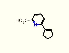 O=C(O)c1cccc(C2=CCCC2)n1